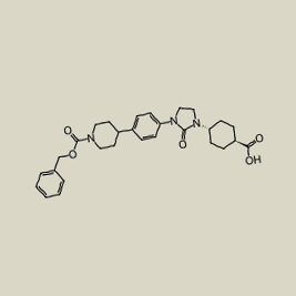 O=C(OCc1ccccc1)N1CCC(c2ccc(N3CCN([C@H]4CC[C@H](C(=O)O)CC4)C3=O)cc2)CC1